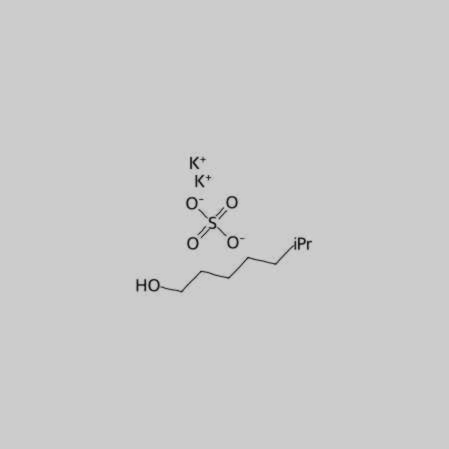 CC(C)CCCCCO.O=S(=O)([O-])[O-].[K+].[K+]